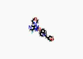 Fc1cncc2c(N3CCCOCC3)nc(OC[C@]34CCC[C@H]3N(CCC3CCOCC3)CCC4)nc12